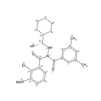 CCC[C@@H](NN(C(=O)c1cc(C)cc(C)c1)C(=O)c1cccc(OC)c1CC)C1CCCCC1